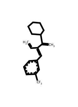 C=C/C(=C\c1cccc(C(F)(F)F)c1)C(=C)C1CCCCC1